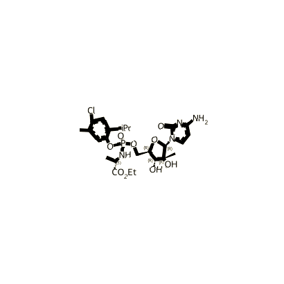 CCOC(=O)[C@H](C)NP(=O)(OC[C@H]1O[C@@H](n2ccc(N)nc2=O)[C@](C)(O)[C@@H]1O)Oc1cc(C)c(Cl)cc1C(C)C